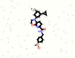 C[S+]([O-])c1ccc(CNC(=O)c2ccc3c(n2)OCCN3c2cc(C3CC3)cc(C(F)(F)F)c2)cc1